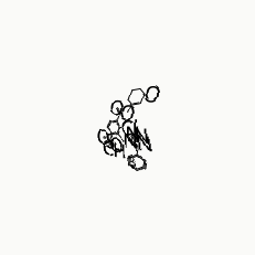 CS(=O)(=O)c1ccc(C(=O)OC2=CC(=O)CCC2)c(Cl)c1Cn1nnnc1-c1ccccc1